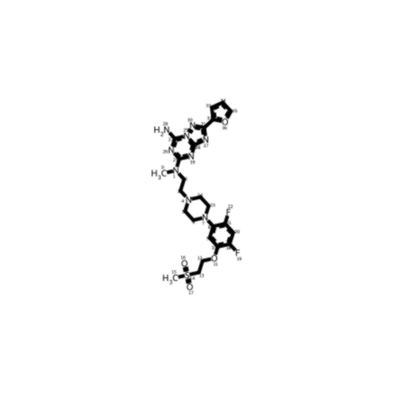 CN(CCN1CCN(c2cc(OCCS(C)(=O)=O)c(F)cc2F)CC1)c1nc(N)n2nc(-c3ccco3)nc2n1